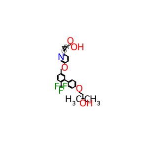 CC(C)(O)CCOc1ccc(-c2cc(COc3ccc([C@@H]4C[C@H]4C(=O)O)nc3)ccc2C(F)(F)F)cc1